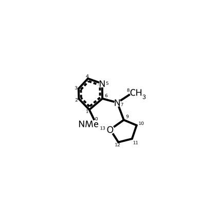 CNc1cccnc1N(C)C1CCCO1